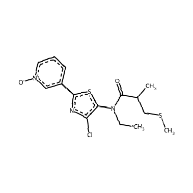 CCN(C(=O)C(C)CSC)c1sc(-c2ccc[n+]([O-])c2)nc1Cl